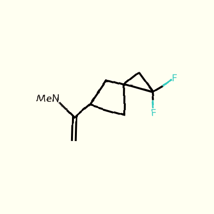 C=C(NC)C1CC2(C1)CC2(F)F